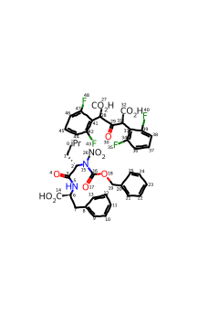 CC(C)C[C@@H](C(=O)N[C@@H](Cc1ccccc1)C(=O)O)N(C(=O)OCc1ccccc1)[N+](=O)[O-].O=C(O)C(C(=O)C(C(=O)O)c1c(F)cccc1F)c1c(F)cccc1F